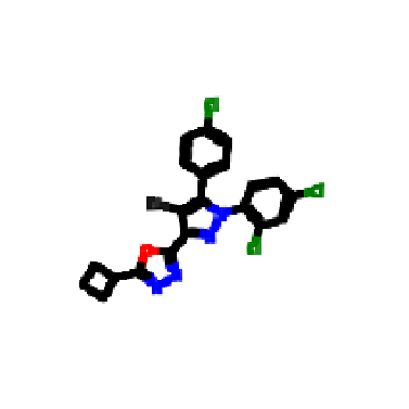 CCc1c(-c2nnc(C3CCC3)o2)nn(-c2ccc(Cl)cc2Cl)c1-c1ccc(Cl)cc1